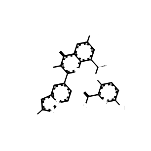 Cc1cc([C@@H](C)Oc2ccc(Cl)nc2C(N)=O)c2oc(-c3ccn4nc(C)cc4c3)c(C)c(=O)c2c1